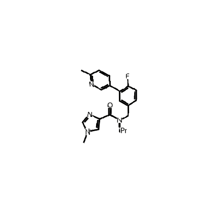 Cc1ccc(-c2cc(CN(C(=O)c3cn(C)cn3)C(C)C)ccc2F)cn1